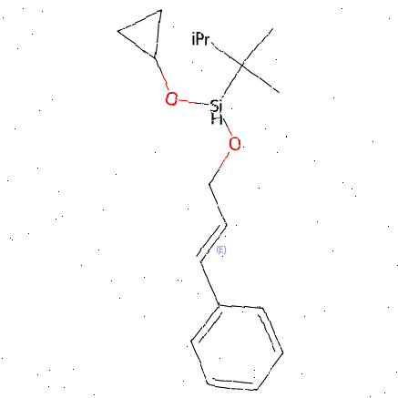 CC(C)C(C)(C)[SiH](OC/C=C/c1ccccc1)OC1CC1